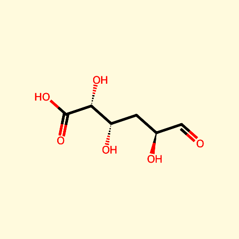 O=C[C@@H](O)C[C@H](O)[C@@H](O)C(=O)O